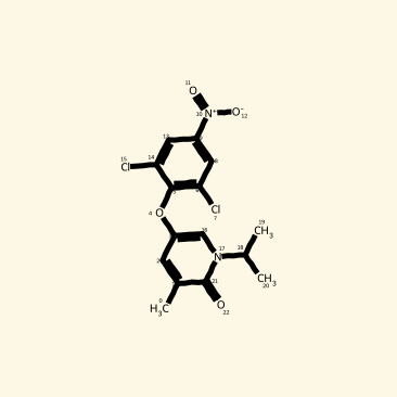 Cc1cc(Oc2c(Cl)cc([N+](=O)[O-])cc2Cl)cn(C(C)C)c1=O